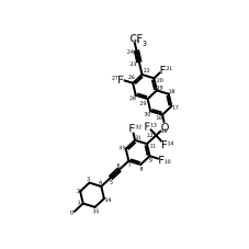 CC1CCC(C#Cc2cc(F)c(C(F)(F)Oc3ccc4c(F)c(C#CC(F)(F)F)c(F)cc4c3)c(F)c2)CC1